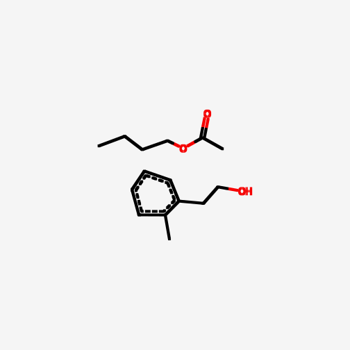 CCCCOC(C)=O.Cc1ccccc1CCO